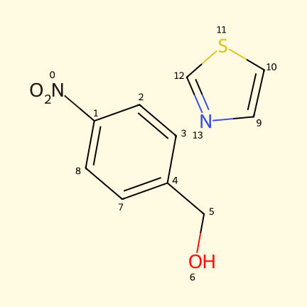 O=[N+]([O-])c1ccc(CO)cc1.c1cscn1